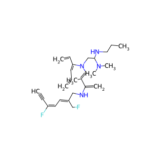 C#C/C(F)=C\C=C(/CF)CNC(=C)/C(C)=C/N(CC(NCCC)N(C)C)/C(C=C)=C\C=C